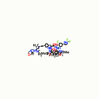 C=N/C(=C\C=C(/C)C#Cc1ccc(C[C@H](NC(=O)[C@@H](NC(=O)OC)C(C)(C)C(F)(F)F)[C@@H](O)CN(Cc2c(F)cc(-c3ccn(C(F)F)n3)cc2F)NC(=O)[C@@H](NC(=O)OC)C(C)(C)C(F)(F)F)cc1)N1CCN2CCOC[C@H]2C1